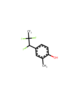 Cc1cc(C(F)C(F)(F)C(F)(F)F)ccc1O